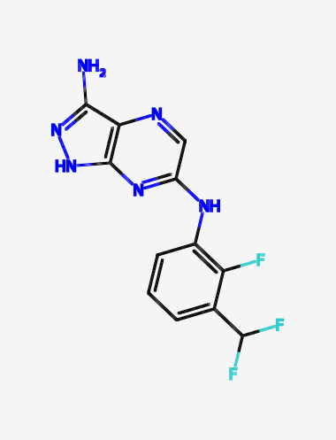 Nc1n[nH]c2nc(Nc3cccc(C(F)F)c3F)cnc12